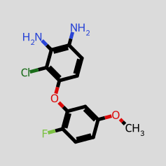 COc1ccc(F)c(Oc2ccc(N)c(N)c2Cl)c1